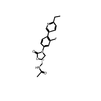 CCc1ccc(-c2ccc(N3C[C@H](CNC(C)=O)OC3=O)cc2F)cn1